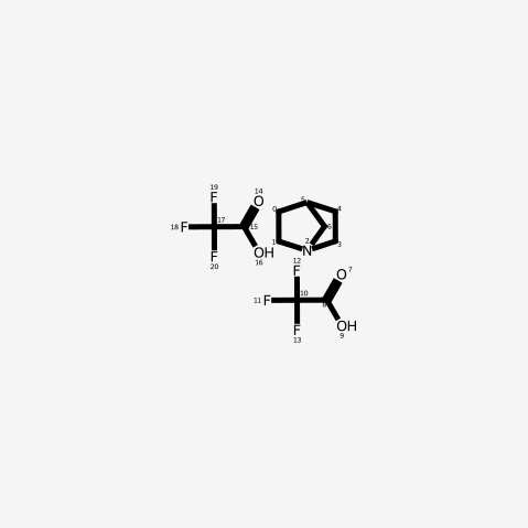 C1CN2CCC1C2.O=C(O)C(F)(F)F.O=C(O)C(F)(F)F